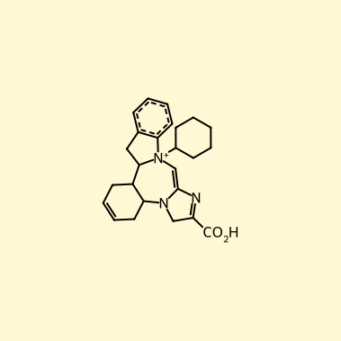 O=C(O)C1=NC2=C[N+]3(C4CCCCC4)c4ccccc4CC3C3CC=CCC3N2C1